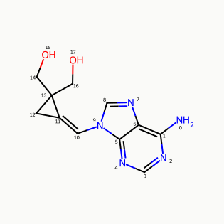 Nc1ncnc2c1ncn2/C=C1/CC1(CO)CO